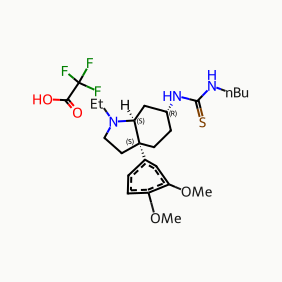 CCCCNC(=S)N[C@@H]1CC[C@@]2(c3ccc(OC)c(OC)c3)CCN(CC)[C@H]2C1.O=C(O)C(F)(F)F